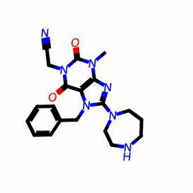 Cn1c(=O)n(CC#N)c(=O)c2c1nc(N1CCCNCC1)n2Cc1ccccc1